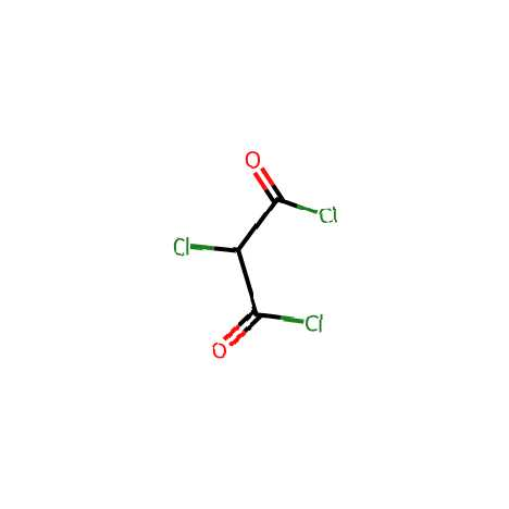 O=C(Cl)C(Cl)C(=O)Cl